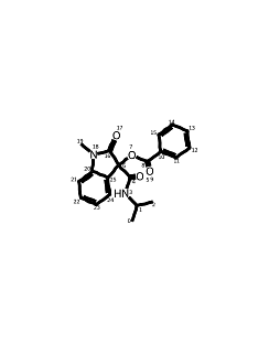 CC(C)NC(=O)C1(OC(=O)c2ccccc2)C(=O)N(C)c2ccccc21